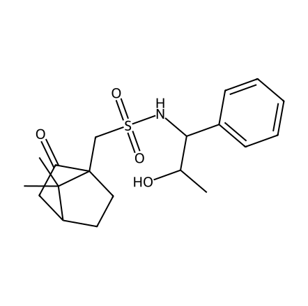 CC(O)C(NS(=O)(=O)CC12CCC(CC1=O)C2(C)C)c1ccccc1